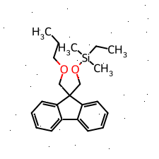 CCCOCC1(CO[Si](C)(C)CC)c2ccccc2-c2ccccc21